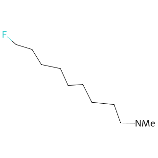 CNCCCCCCCCCF